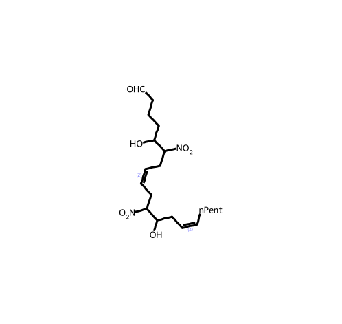 CCCCC/C=C\CC(O)C(C/C=C\CC(C(O)CCC[C]=O)[N+](=O)[O-])[N+](=O)[O-]